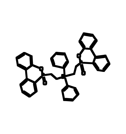 O=P1(CC[Si](CCP2(=O)Oc3ccccc3-c3ccccc32)(c2ccccc2)c2ccccc2)Oc2ccccc2-c2ccccc21